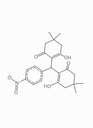 CC1(C)CC(=O)C(C(C2=C(O)CC(C)(C)CC2=O)c2ccc([N+](=O)[O-])cc2)=C(O)C1